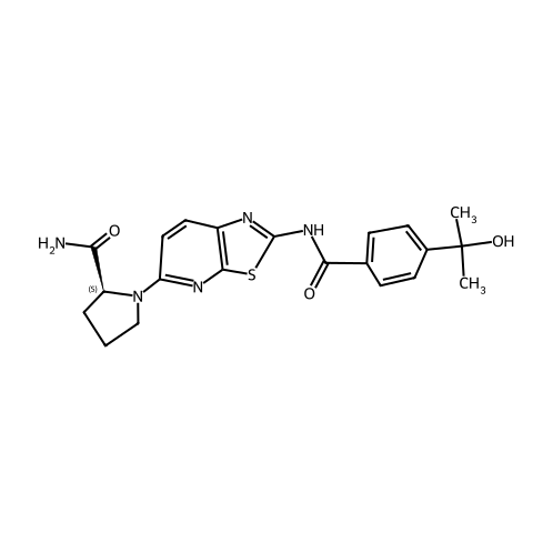 CC(C)(O)c1ccc(C(=O)Nc2nc3ccc(N4CCC[C@H]4C(N)=O)nc3s2)cc1